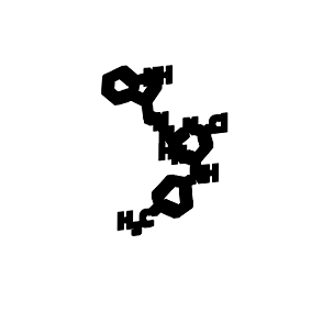 Cc1ccc(Nc2cc(Cl)nc(N/N=C/c3c[nH]c4ccccc34)n2)cc1